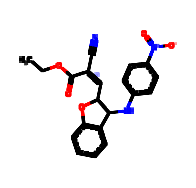 CCOC(=O)/C(C#N)=C\C1Oc2ccccc2C1Nc1ccc([N+](=O)[O-])cc1